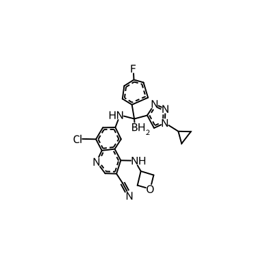 BC(Nc1cc(Cl)c2ncc(C#N)c(NC3COC3)c2c1)(c1ccc(F)cc1)c1cn(C2CC2)nn1